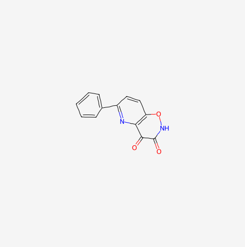 O=c1[nH]oc2ccc(-c3ccccc3)nc2c1=O